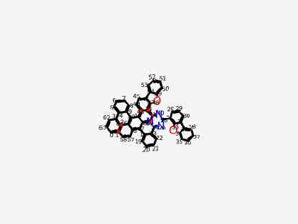 c1ccc(-c2ccccc2-c2c3ccccc3c(-c3ccccc3-c3nc(-c4cccc5c4oc4ccccc45)nc(-c4cccc5c4oc4ccccc45)n3)c3ccccc23)cc1